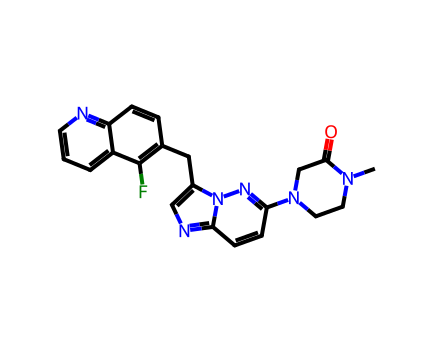 CN1CCN(c2ccc3ncc(Cc4ccc5ncccc5c4F)n3n2)CC1=O